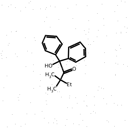 CCC(C)(C)C(=O)C(O)(c1ccccc1)c1ccccc1